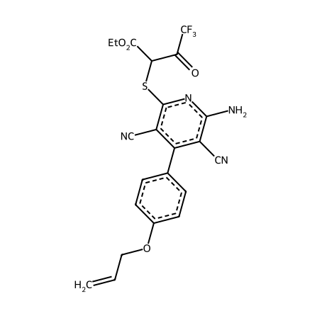 C=CCOc1ccc(-c2c(C#N)c(N)nc(SC(C(=O)OCC)C(=O)C(F)(F)F)c2C#N)cc1